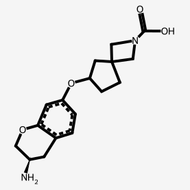 N[C@H]1COc2cc(OC3CCC4(C3)CN(C(=O)O)C4)ccc2C1